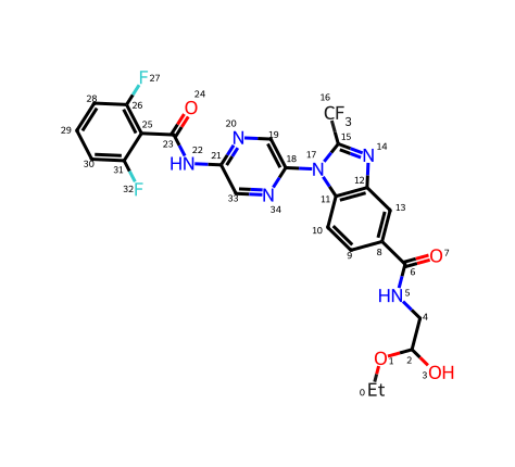 CCOC(O)CNC(=O)c1ccc2c(c1)nc(C(F)(F)F)n2-c1cnc(NC(=O)c2c(F)cccc2F)cn1